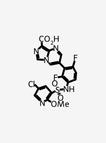 COc1ncc(Cl)cc1S(=O)(=O)Nc1ccc(F)c(-c2cnc3c(C(=O)O)ncn3c2)c1F